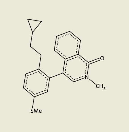 CSc1ccc(CCC2CC2)c(-c2cn(C)c(=O)c3ccccc23)c1